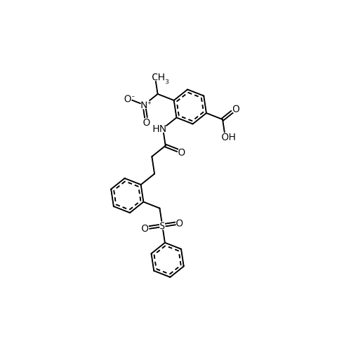 CC(c1ccc(C(=O)O)cc1NC(=O)CCc1ccccc1CS(=O)(=O)c1ccccc1)[N+](=O)[O-]